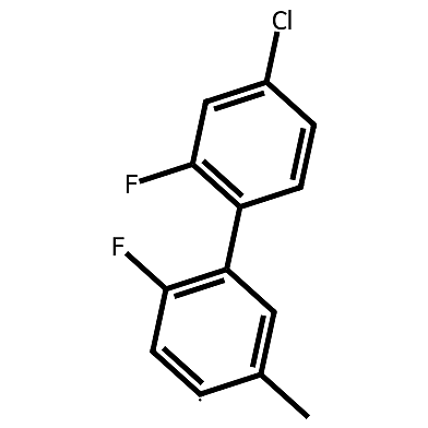 Cc1[c]cc(F)c(-c2ccc(Cl)cc2F)c1